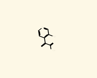 C=C(C(=O)OC)c1ccncc1N